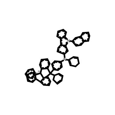 C1=CCC(C2(c3ccc(N(C4=CCCC=C4)c4ccc5c6ccccc6n(-c6ccc7ccccc7c6)c5c4)cc3)c3ccccc3[C@]3(c4ccccc4)c4ccccc4-c4cccc2c43)C=C1